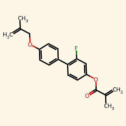 C=C(C)COc1ccc(-c2ccc(OC(=O)C(=C)C)cc2F)cc1